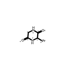 CC(C)C1NC(=O)[CH]NC1=O